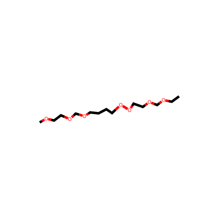 CCOCOCCOOCCCCOCOCCOC